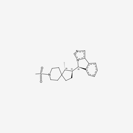 C[C@@H]1[C@@H]([C@@H]2c3ccccc3-c3cncn32)CCC12CCN(S(C)(=O)=O)CC2